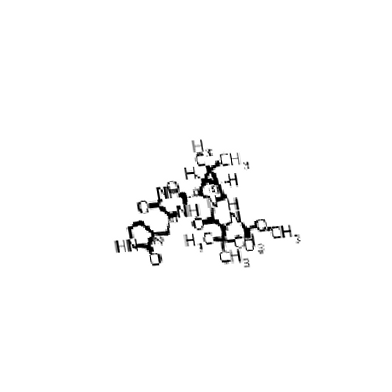 COC(=O)N[C@H](C(=O)N1C[C@H]2[C@@H]([C@H]1C(=O)N[C@@H](C[C@@H]1CCNC1=O)C(N)=O)C2(C)C)C(C)(C)C